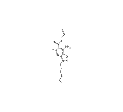 C=CCOC(=O)c1c(C)nc2c(cnn2CCCOCC)c1N